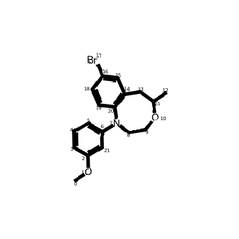 COc1cccc(N2CCOC(C)Cc3cc(Br)ccc32)c1